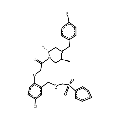 C[C@@H]1CN(Cc2ccc(F)cc2)[C@@H](C)CN1C(=O)COc1ccc(Cl)cc1CNCS(=O)(=O)c1ccccc1